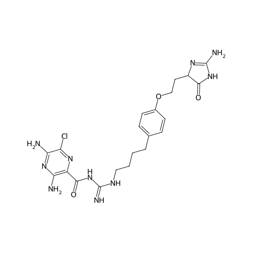 N=C(NCCCCc1ccc(OCCC2N=C(N)NC2=O)cc1)NC(=O)c1nc(Cl)c(N)nc1N